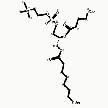 CCCCCCCCCCCCCCCCC(=O)OC[C@H](COP(=O)([O-])OCC[N+](C)(C)C)OC(=O)CCCCCCCCCCCCC